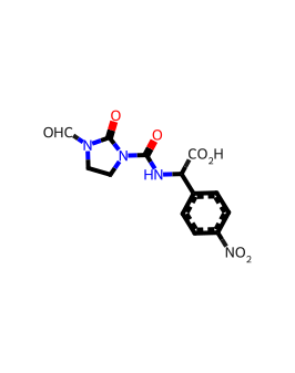 O=CN1CCN(C(=O)NC(C(=O)O)c2ccc([N+](=O)[O-])cc2)C1=O